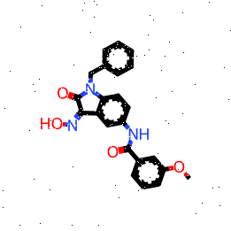 COc1cccc(C(=O)Nc2ccc3c(c2)/C(=N/O)C(=O)N3Cc2ccccc2)c1